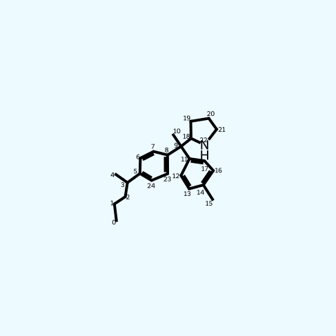 CCCC(C)c1ccc(C(C)(c2ccc(C)cc2)C2CCCN2)cc1